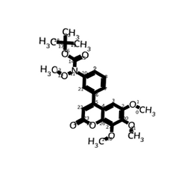 COc1cc2c(-c3cccc(N(OC)C(=O)OC(C)(C)C)c3)cc(=O)oc2c(OC)c1OC